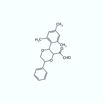 Cc1cc(C)c(C2OCC(c3ccccc3)OC2C(=O)C=O)c(C)c1